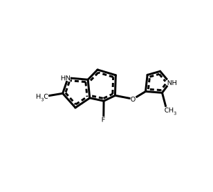 Cc1cc2c(F)c(Oc3cc[nH]c3C)ccc2[nH]1